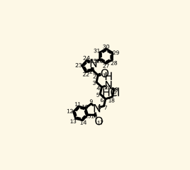 Cl.O=C(CC1CC(CN2Cc3ccccc3C2=O)CCN1)c1cccn1-c1ccccc1